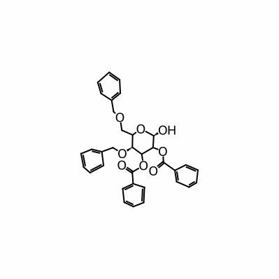 O=C(OC1C(OC(=O)c2ccccc2)[C@H](O)OC(COCc2ccccc2)[C@@H]1OCc1ccccc1)c1ccccc1